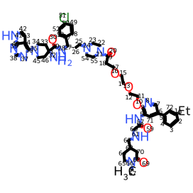 CCc1cccc(-c2cnc(OCCOCCOCCC(=O)N3CCN(CC[C@H](NC(=O)C4(N)CCN(c5ncnc6[nH]ccc56)CC4)c4ccc(Cl)cc4)CC3)c(NC(=O)CNCC3CCN(C)C(=O)C3)c2)c1